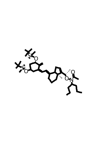 C=C1C(=CC=C2CCC[C@]3(C)C([C@H](C)ON(C(C)=O)C(CCC)CCC)=CCC23)CC(O[Si](C)(C)C(C)(C)C)C[C@@H]1O[Si](C)(C)C(C)(C)C